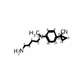 CN(CCCCN)c1ccc(C2(C#N)CC2)cc1